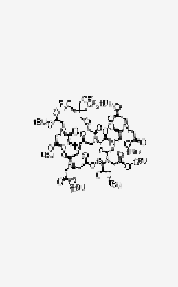 CC(C)(C)OC(=O)CN(CC(=O)OC(C)(C)C)C(=O)CN(CC(=O)N(CC(=O)OC(C)(C)C)CC(=O)OC(C)(C)C)C(=O)CN(CC(=O)N(CC(=O)N(CC(=O)OC(C)(C)C)CC(=O)OC(C)(C)C)CC(=O)N(CC(=O)OC(C)(C)C)CC(=O)OC(C)(C)C)C(=O)COCC(CC(F)(F)F)(CC(F)(F)F)CC(F)(F)F